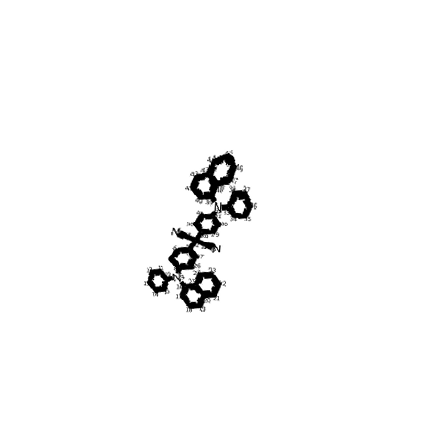 N#CC(C#N)(c1ccc(N(c2ccccc2)c2cccc3ccccc23)cc1)c1ccc(N(c2ccccc2)c2cccc3ccccc23)cc1